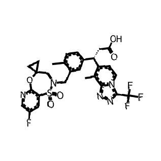 Cc1ccc([C@H](CC(=O)O)c2ccn3c(C(F)(F)F)nnc3c2C)cc1CN1CC2(CC2)Oc2ncc(F)cc2S1(=O)=O